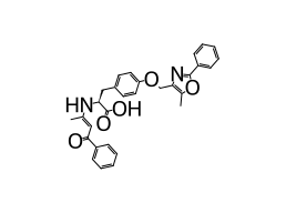 C/C(=C\C(=O)c1ccccc1)N[C@@H](Cc1ccc(OCc2nc(-c3ccccc3)oc2C)cc1)C(=O)O